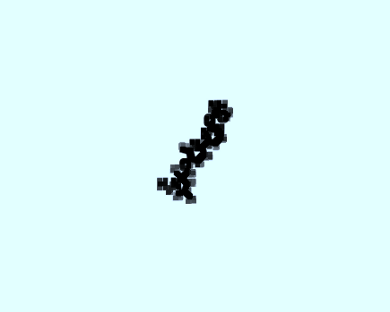 Cc1nc(-c2ccnc(OC(N)=O)n2)ccc1OC[C@@](C)(N)CC(C)C